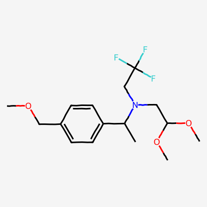 COCc1ccc(C(C)N(CC(OC)OC)CC(F)(F)F)cc1